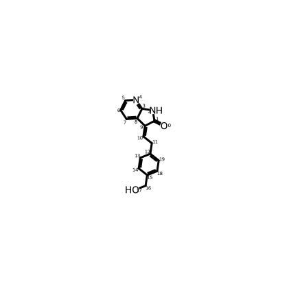 O=C1Nc2ncccc2C1=CCc1ccc(CO)cc1